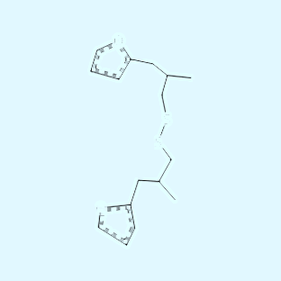 CC(CSSCC(C)Cc1ccco1)Cc1ccco1